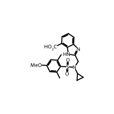 COc1cc(C)c(S(=O)(=O)N(Cc2nc3cccc(C(=O)O)c3[nH]2)C2CC2)c(C)c1